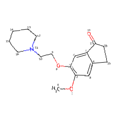 COc1cc2c(cc1OCCN1CCCCC1)C(=O)CC2